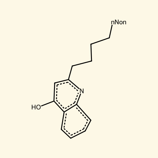 CCCCCCCCCCCCCc1cc(O)c2ccccc2n1